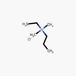 CCC[N+](C)(C)C[SiH3].[Cl-]